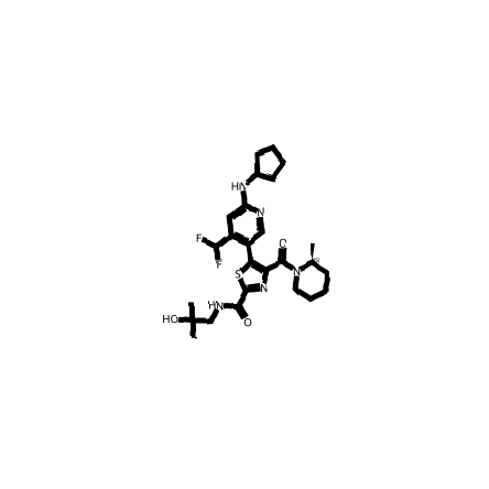 C[C@H]1CCCCN1C(=O)c1nc(C(=O)NCC(C)(C)O)sc1-c1cnc(NC2CCCC2)cc1C(F)F